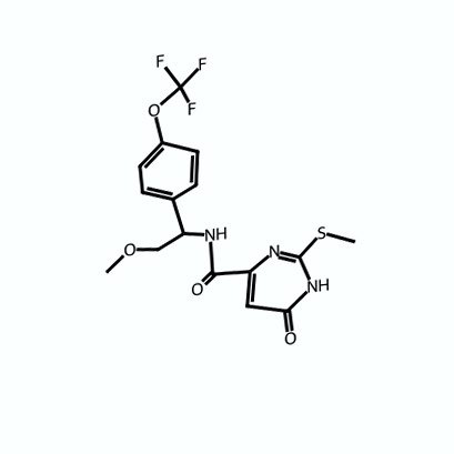 COCC(NC(=O)c1cc(=O)[nH]c(SC)n1)c1ccc(OC(F)(F)F)cc1